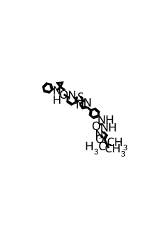 CC(C)(C)c1cc(NC(=O)Nc2ccc(-c3cn4c(n3)sc3nc(OCC5(Nc6ccccc6)CC5)ccc34)cc2)no1